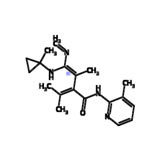 C=N/C(NC1(C)CC1)=C(\C)C(C(=O)Nc1ncccc1C)=C(C)C